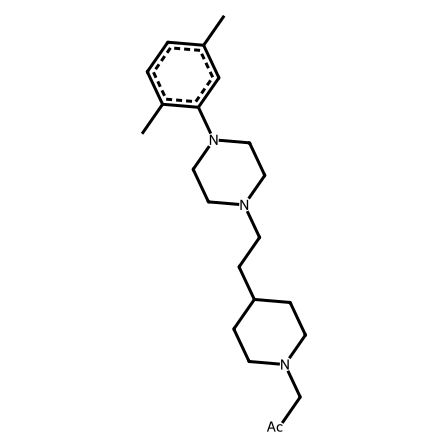 CC(=O)CN1CCC(CCN2CCN(c3cc(C)ccc3C)CC2)CC1